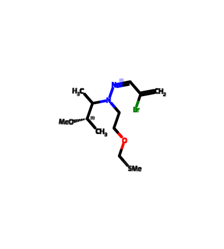 C=C(Br)/C=N\N(CCOCSC)C(C)[C@H](C)OC